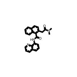 CN(C)C(=O)Cc1ccc2ccccc2c1C(=O)Nc1cccc2cccnc12